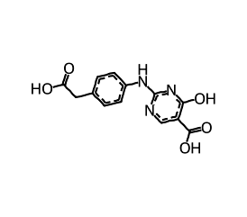 O=C(O)Cc1ccc(Nc2ncc(C(=O)O)c(O)n2)cc1